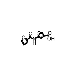 O=C(O)c1csc(NC(=O)c2ccco2)c1